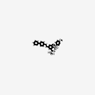 COc1ccc(S(=O)(=O)N(C)c2c(C)cc(CCc3ccc(-c4ccccc4)cc3)cc2C(=O)NO)cc1